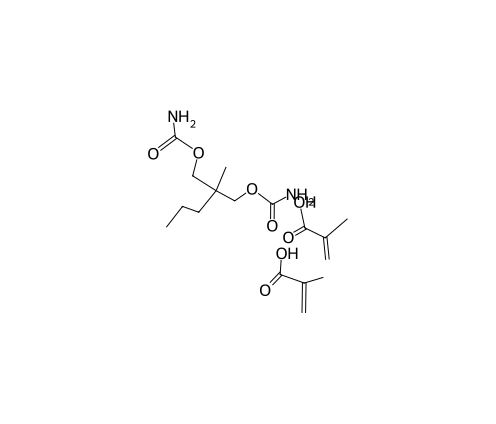 C=C(C)C(=O)O.C=C(C)C(=O)O.CCCC(C)(COC(N)=O)COC(N)=O